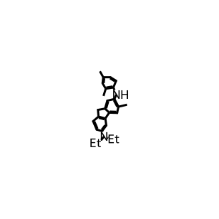 CCN(CC)c1ccc2c(c1)-c1cc(C)c(Nc3ccc(C)cc3C)cc1C2